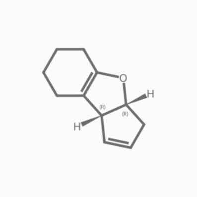 C1=C[C@@H]2C3=C(CCCC3)O[C@@H]2C1